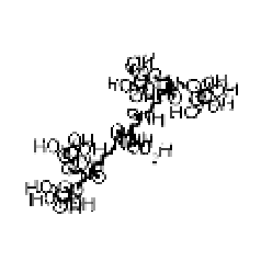 O=C(O)NC(CCC(=O)NCCCCCC(=O)N(CCO[C@H]1O[C@H](CO)[C@@H](O)[C@H](O)[C@@H]1O)CCO[C@H]1O[C@H](CO)[C@@H](O)[C@H](O)[C@@H]1O)C(=O)NCCCCCC(=O)N(CCO[C@H]1O[C@H](CO)[C@@H](O)[C@H](O)[C@@H]1O)CCO[C@H]1O[C@H](CO)[C@@H](O)[C@H](O)[C@@H]1O